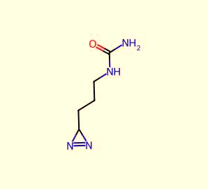 NC(=O)NCCCC1N=N1